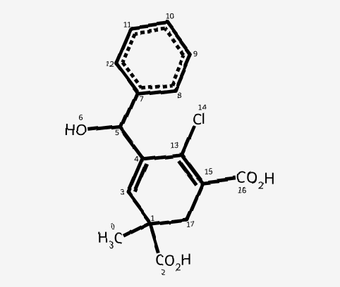 CC1(C(=O)O)C=C(C(O)c2ccccc2)C(Cl)=C(C(=O)O)C1